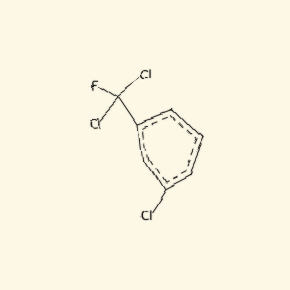 FC(Cl)(Cl)c1cccc(Cl)c1